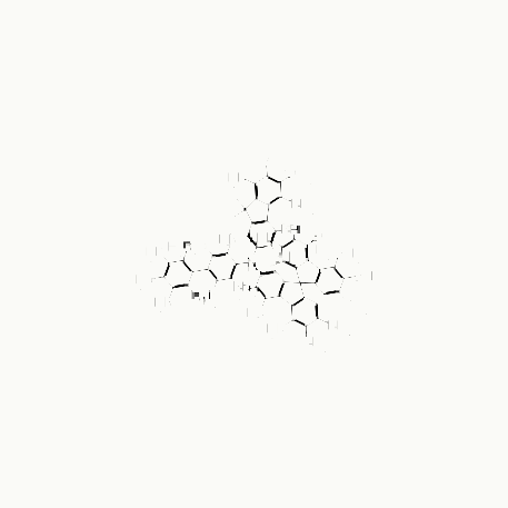 Bc1cc2c(c(B)c1B)-c1c(cc(N(c3cc4c(c(B)c3B)-c3c(B)c(B)c(B)c(B)c3C4(C)C)c3c(B)c(B)c(-c4c(B)c(B)c(B)c(B)c4B)c(B)c3B)c(B)c1B)C21c2cc(B)c(B)c(B)c2-c2c(B)c(B)c(B)c(B)c21